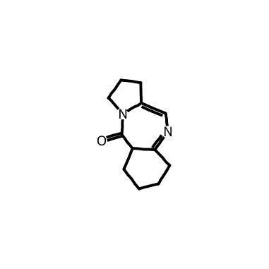 O=C1C2CCCCC2=NC=C2CCCN12